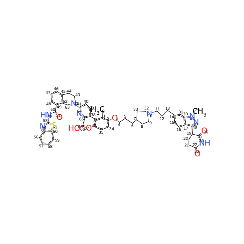 Cc1c(OCCCC2CCN(CCCc3ccc4c(C5CCC(=O)NC5=O)nn(C)c4c3)CC2)cccc1-c1ccc(N2CCc3cccc(C(=O)Nc4nc5ccccc5s4)c3C2)nc1C(=O)O